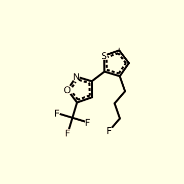 FCCCc1c[c]sc1-c1cc(C(F)(F)F)on1